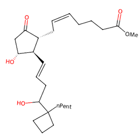 CCCCCC1(C(O)C/C=C/[C@H]2[C@H](O)CC(=O)[C@@H]2C/C=C\CCCC(=O)OC)CCC1